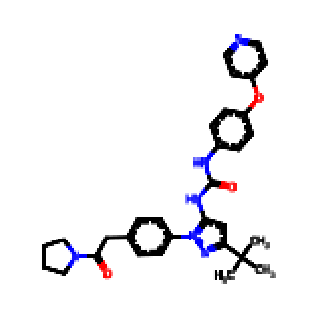 CC(C)(C)c1cc(NC(=O)Nc2ccc(Oc3ccncc3)cc2)n(-c2ccc(CC(=O)N3CCCC3)cc2)n1